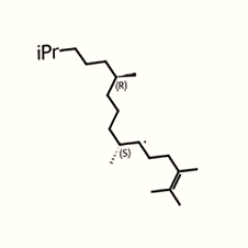 CC(C)=C(C)CC[CH][C@H](C)CCC[C@H](C)CCCC(C)C